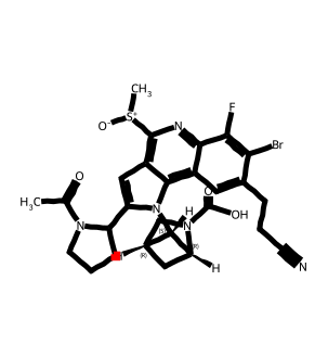 CC(=O)N1CCCC1c1cc2c([S+](C)[O-])nc3c(F)c(Br)c(CCC#N)cc3c2n1[C@H]1[C@@H]2C[C@H]1N(C(=O)O)C2